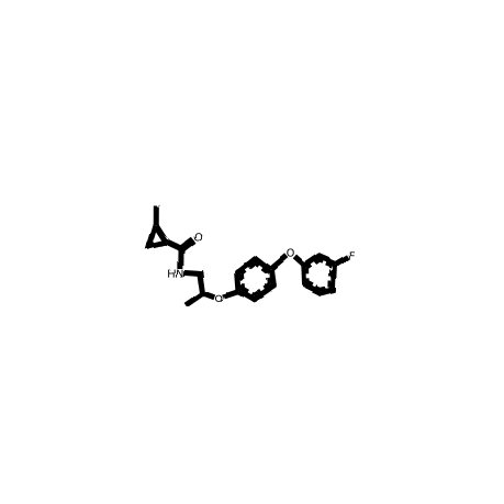 CC(CNC(=O)C1CC1C)Oc1ccc(Oc2cccc(F)c2)cc1